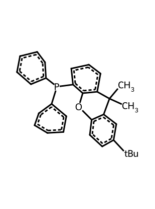 CC(C)(C)c1ccc2c(c1)C(C)(C)c1cccc(P(c3ccccc3)c3ccccc3)c1O2